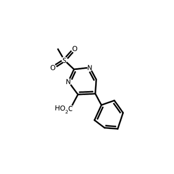 CS(=O)(=O)c1ncc(-c2ccccc2)c(C(=O)O)n1